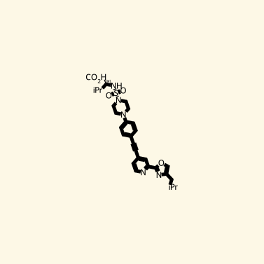 CC(C)Cc1coc(-c2cc(C#Cc3ccc(N4CCN(S(=O)(=O)N[C@@H](C(=O)O)C(C)C)CC4)cc3)ccn2)n1